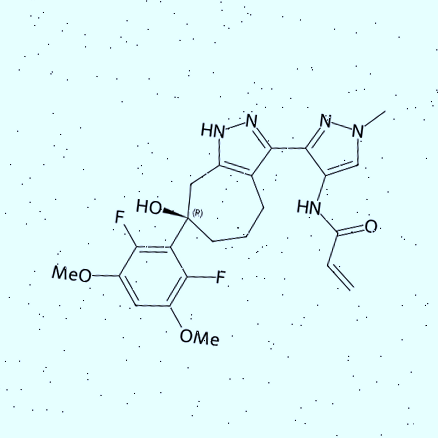 C=CC(=O)Nc1cn(C)nc1-c1n[nH]c2c1CCC[C@](O)(c1c(F)c(OC)cc(OC)c1F)C2